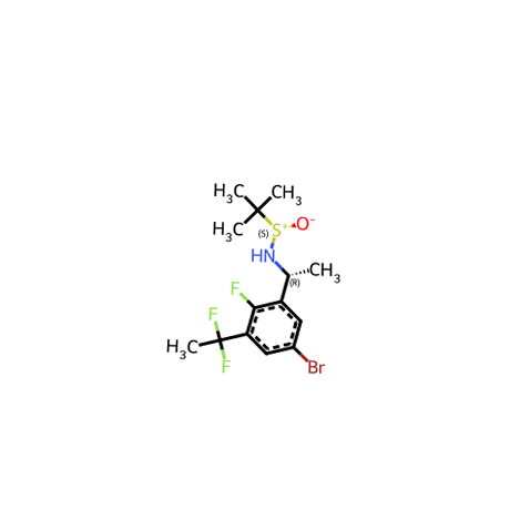 C[C@@H](N[S@+]([O-])C(C)(C)C)c1cc(Br)cc(C(C)(F)F)c1F